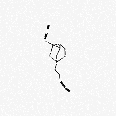 O=C=NCCC12CCC(CC1)C(N=C=O)C2